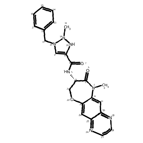 CN1C(=O)[C@@H](NC(=O)C2=CN(Cc3ccccc3)N(C)N2)COc2cc3nccnc3cc21